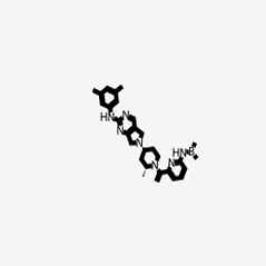 C=C(c1cccc(NB(C)C)n1)N1CC[C@@H](N2Cc3cnc(Nc4cc(C)cc(C)c4)nc3C2)C[C@H]1C